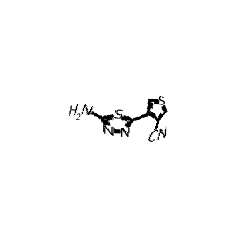 N#Cc1cscc1-c1nnc(N)s1